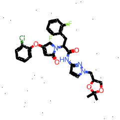 CC1(C)OCC(Cn2ccc(NC(=O)C(Cc3c(F)cccc3F)N3CC(Oc4ccccc4Cl)=CC3=O)n2)O1